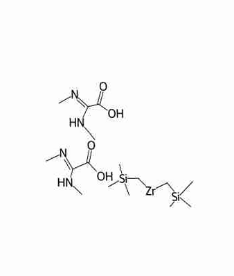 CN=C(NC)C(=O)O.CN=C(NC)C(=O)O.C[Si](C)(C)[CH2][Zr][CH2][Si](C)(C)C